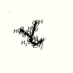 CC(C)(CCN=[N+]=[N-])OCCC(C)(C)C(=O)NC(COCCC(=O)NCCS(=O)(=O)O)COCCC(=O)NCCS(=O)(=O)O